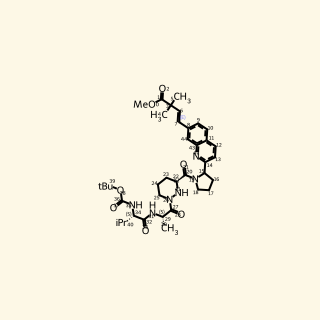 COC(=O)C(C)(C)/C=C/c1ccc2ccc(C3CCCN3C(=O)[C@@H]3CCCN(C(=O)[C@H](C)NC(=O)[C@@H](NC(=O)OC(C)(C)C)C(C)C)N3)nc2c1